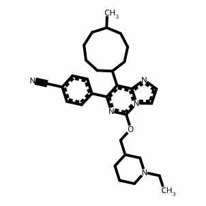 CCN1CCCC(COc2nc(-c3ccc(C#N)cc3)c(C3CCCCC(C)CCC3)c3nccn23)C1